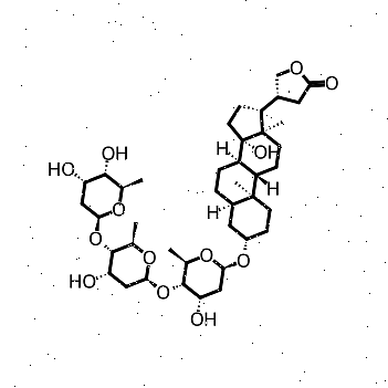 C[C@H]1O[C@@H](O[C@H]2[C@@H](O)C[C@H](O[C@H]3[C@@H](O)C[C@H](O[C@H]4CC[C@@]5(C)[C@H](CC[C@@H]6[C@@H]5CC[C@]5(C)[C@@H]([C@@H]7COC(=O)C7)CC[C@]65O)C4)O[C@@H]3C)O[C@@H]2C)C[C@H](O)[C@@H]1O